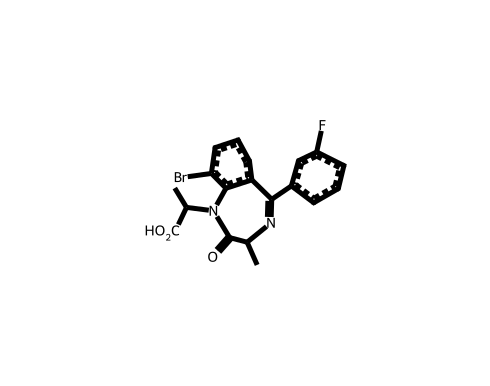 CC1N=C(c2cccc(F)c2)c2cccc(Br)c2N(C(C)C(=O)O)C1=O